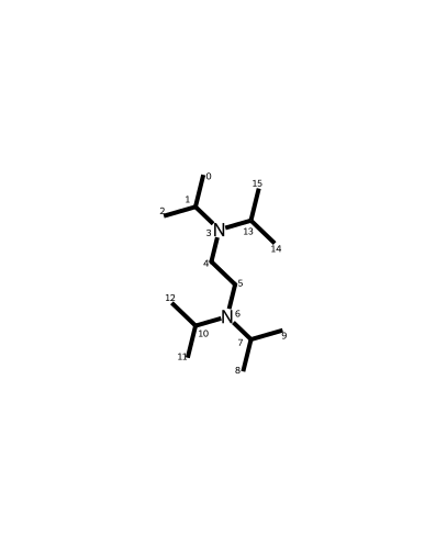 CC(C)N(CCN(C(C)C)C(C)C)C(C)C